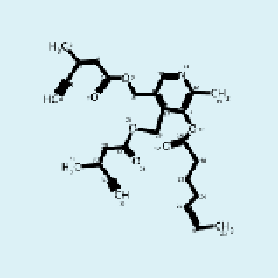 C#CC(C)CC(=O)OCc1cnc(C)c(OC(=O)CCC/C=C\C)c1COC(=O)CC(C)C#C